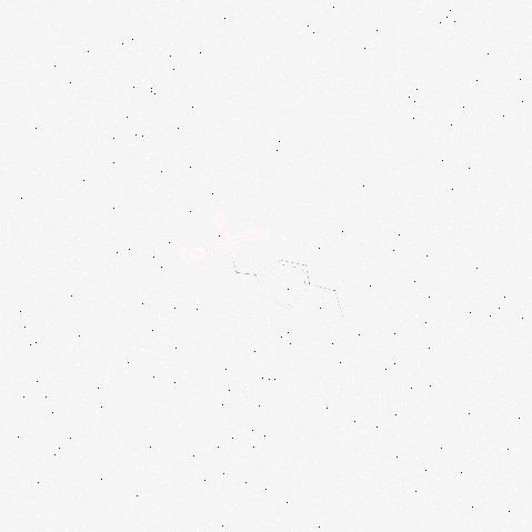 CC(C)c1ccc(CP(=O)(O)O)cc1